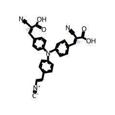 [C-]#[N+]C=Cc1ccc(N(c2ccc(/C=C(/C#N)C(=O)O)cc2)c2ccc(/C=C(\C#N)C(=O)O)cc2)cc1